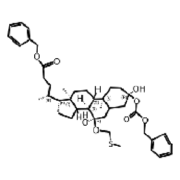 CSCO[C@]1(O)CC2C[C@](O)(OC(=O)OCc3ccccc3)CC[C@]2(C)[C@H]2CC[C@]3(C)[C@@H]([C@H](C)CCC(=O)OCc4ccccc4)CC[C@H]3[C@@H]21